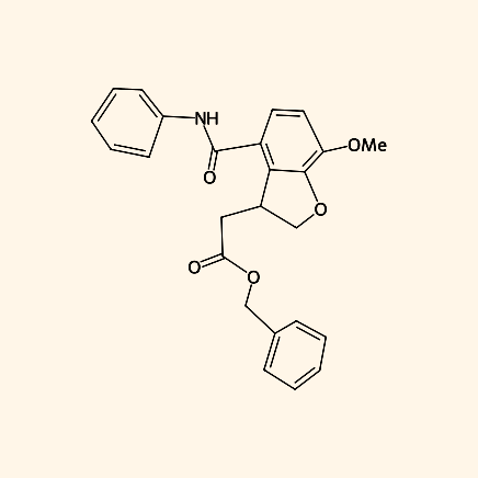 COc1ccc(C(=O)Nc2ccccc2)c2c1OCC2CC(=O)OCc1ccccc1